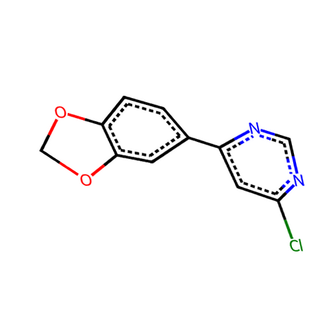 Clc1cc(-c2ccc3c(c2)OCO3)ncn1